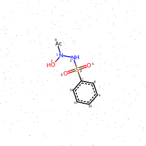 CC(=O)N(O)NS(=O)(=O)c1ccccc1